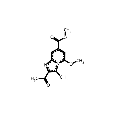 COC(=O)c1cc(OC)n2c(C)c(C(C)=O)nc2c1